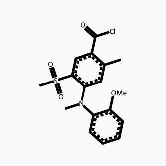 COc1ccccc1N(C)c1cc(C)c(C(=O)Cl)cc1S(C)(=O)=O